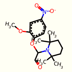 COc1cc([N+](=O)[O-])ccc1OC(C=O)N1C(C)(C)CCCC1(C)C